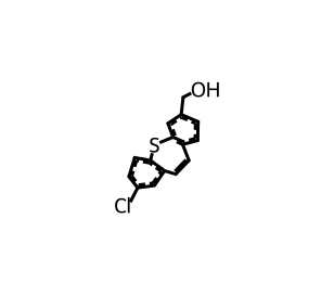 OCc1ccc2c(c1)Sc1ccc(Cl)cc1C=C2